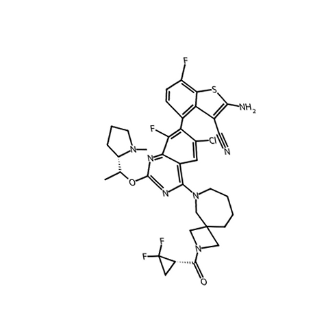 CC(Oc1nc(N2CCCCC3(CN(C(=O)[C@@H]4CC4(F)F)C3)C2)c2cc(Cl)c(-c3ccc(F)c4sc(N)c(C#N)c34)c(F)c2n1)[C@@H]1CCCN1C